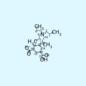 CCC[N+](CCC)(CCC)CCC.O=C([O-])c1cccc(C(=O)O)c1